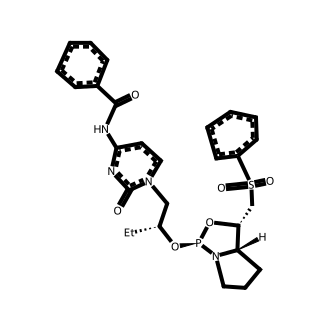 CC[C@H](Cn1ccc(NC(=O)c2ccccc2)nc1=O)O[P@@]1O[C@H](CS(=O)(=O)c2ccccc2)[C@@H]2CCCN21